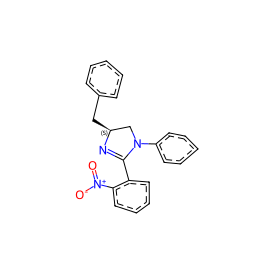 O=[N+]([O-])c1ccccc1C1=N[C@@H](Cc2ccccc2)CN1c1ccccc1